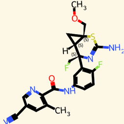 COC[C@]12C[C@H]1[C@@](CF)(c1cc(NC(=O)c3ncc(C#N)cc3C)ccc1F)N=C(N)S2